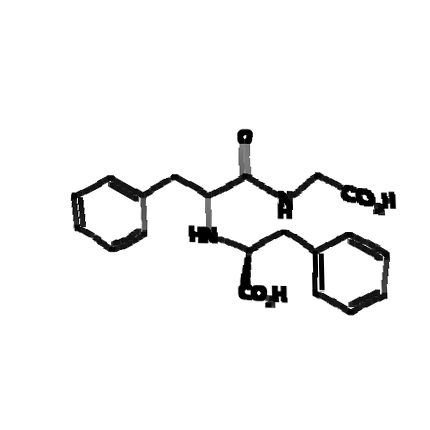 O=C(O)CNC(=O)C(Cc1ccccc1)N[C@@H](Cc1ccccc1)C(=O)O